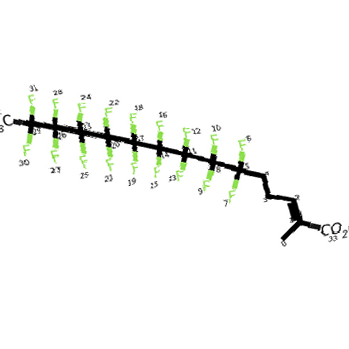 C/C(=C\CCC(F)(F)C(F)(F)C(F)(F)C(F)(F)C(F)(F)C(F)(F)C(F)(F)C(F)(F)C(F)(F)C(F)(F)F)C(=O)O